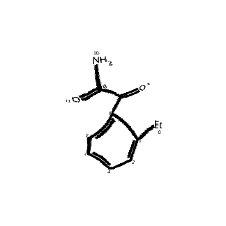 CCc1ccccc1C(=O)C(N)=O